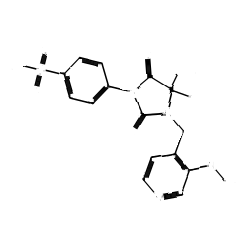 CC(C)Nc1cnccc1CN1C(=O)N(c2ccc(S(=O)(=O)C(F)(F)F)cc2)C(=O)C1(C)C